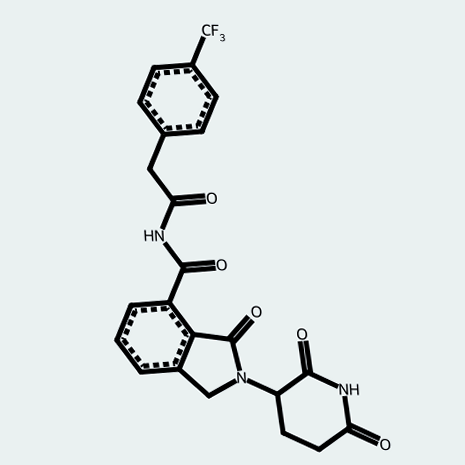 O=C(Cc1ccc(C(F)(F)F)cc1)NC(=O)c1cccc2c1C(=O)N(C1CCC(=O)NC1=O)C2